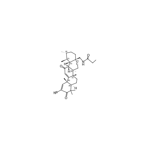 CCC(=O)NC[C@]12CC[C@@H](C)[C@H](C)[C@H]1[C@H]1C(=O)C=C3[C@@]4(C)C=C(C#N)C(=O)C(C)(C)[C@@H]4CC[C@@]3(C)[C@]1(C)CC2